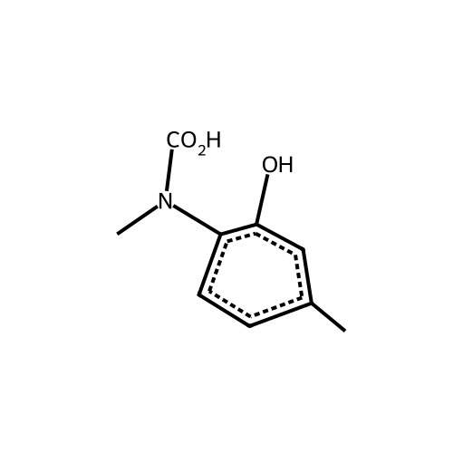 Cc1ccc(N(C)C(=O)O)c(O)c1